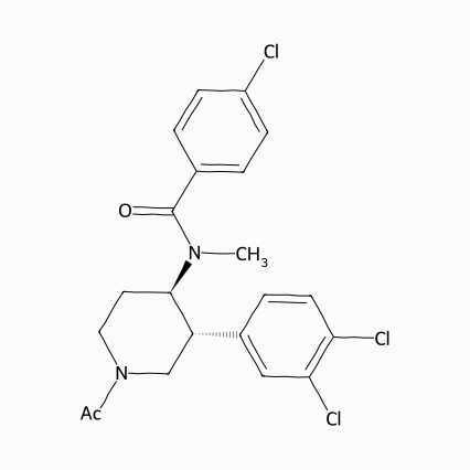 CC(=O)N1CC[C@@H](N(C)C(=O)c2ccc(Cl)cc2)[C@H](c2ccc(Cl)c(Cl)c2)C1